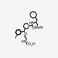 CNCC(CC1CCCCCC1)NC(=O)N1CCCC(C(OCCNC(=O)O)c2cccc(F)c2)C1